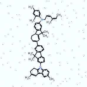 C/C=C(C)\C=C/CN(c1ccc2c(c1)C(C)(C)C1=CC(c3ccc4c(c3)C(C)(C)c3cc(-n5c6c(c7cc(C)ccc75)C=C(C)CC6)ccc3-4)=CCCC12)c1ccc(C)cc1C